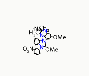 COc1ccc2nc(C)c(C)nc2c1.COc1cnc2ccccc2n1.O=[N+]([O-])c1ccccc1.[Na]